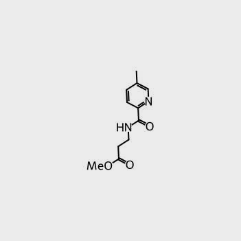 COC(=O)CCNC(=O)c1ccc(C)cn1